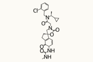 CNC(=O)NC1C=CC2=C(CC[C@]23CN(CC(=O)N(Cc2ccccc2Cl)[C@@H](C)C2CC2)C(=O)O3)C1=O